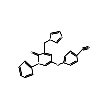 N#Cc1ccc(Oc2cc(Cn3ccnc3)c(=O)n(-c3ccccc3)c2)cc1